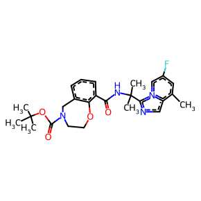 Cc1cc(F)cn2c(C(C)(C)NC(=O)c3cccc4c3OCCN(C(=O)OC(C)(C)C)C4)ncc12